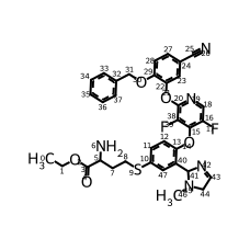 CCOC(=O)C(N)CCSc1ccc(Oc2c(F)cnc(Oc3cc(C#N)ccc3OCc3ccccc3)c2F)c(C2N=CCN2C)c1